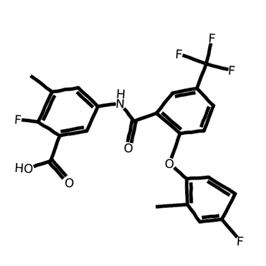 Cc1cc(F)ccc1Oc1ccc(C(F)(F)F)cc1C(=O)Nc1cc(C)c(F)c(C(=O)O)c1